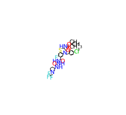 CC(C)(C)OC(=O)N[C@H]1CSc2cc(F)c(C(=O)NNC(=O)NC3CCCN(CC(F)(F)F)C3)cc2N(Cc2ccc(Cl)cc2)C1=O